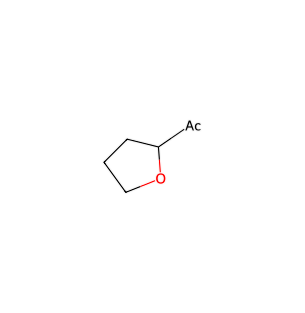 [CH2]C(=O)C1CCCO1